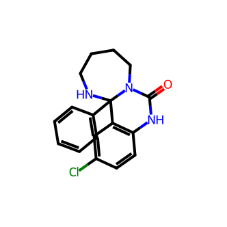 O=C1Nc2ccc(Cl)cc2C2(c3ccccc3)NCCCCN12